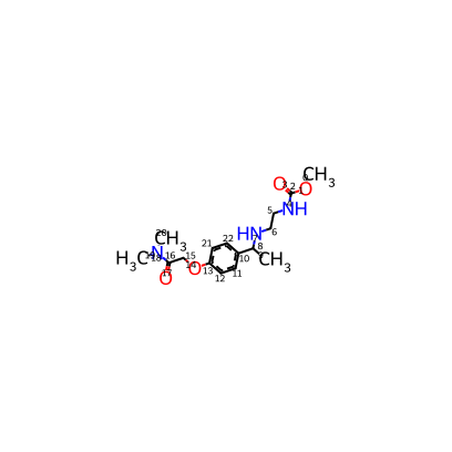 COC(=O)NCCNC(C)c1ccc(OCC(=O)N(C)C)cc1